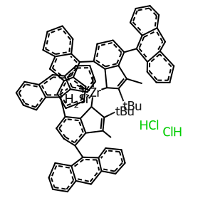 CC1=C(C(C)(C)C)[CH]([Zr]([CH3])([CH3])(=[SiH2])[CH]2C(C(C)(C)C)=C(C)c3c(-c4c5ccccc5cc5ccccc45)ccc(-c4c5ccccc5cc5ccccc45)c32)c2c(-c3c4ccccc4cc4ccccc34)ccc(-c3c4ccccc4cc4ccccc34)c21.Cl.Cl